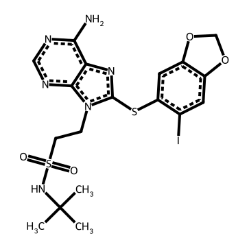 CC(C)(C)NS(=O)(=O)CCn1c(Sc2cc3c(cc2I)OCO3)nc2c(N)ncnc21